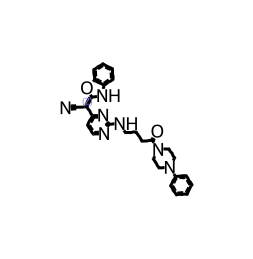 N#C/C(=C1/Nc2ccccc2O1)c1ccnc(NCCCC(=O)N2CCN(c3ccccc3)CC2)n1